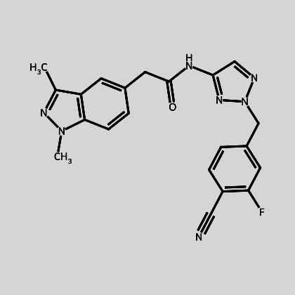 Cc1nn(C)c2ccc(CC(=O)Nc3cnn(Cc4ccc(C#N)c(F)c4)n3)cc12